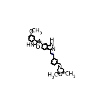 COc1ccc2c(c1)[C@]1(C[C@H]1c1ccc3c(/C=C/c4cccc(CN5C[C@@H](C)O[C@@H](C)C5)c4)n[nH]c3c1)C(=O)N2